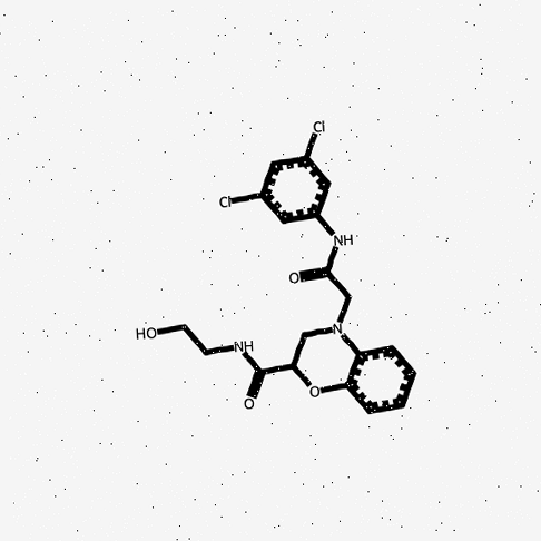 O=C(CN1CC(C(=O)NCCO)Oc2ccccc21)Nc1cc(Cl)cc(Cl)c1